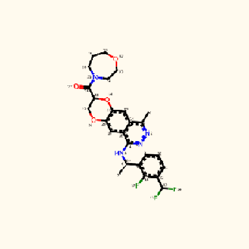 Cc1nnc(N[C@H](C)c2cccc(C(F)F)c2F)c2cc3c(cc12)OC(C(=O)N1CCCOCC1)CO3